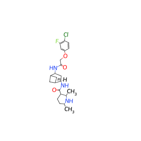 CC1CCC(C(=O)N[C@@H]2CC(NC(=O)COc3ccc(Cl)c(F)c3)C3CC2C3)C(C)N1